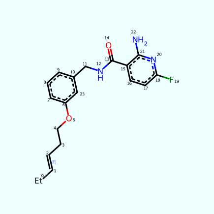 CC/C=C/CCOc1cccc(CNC(=O)c2ccc(F)nc2N)c1